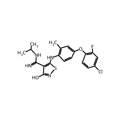 Cc1cc(Oc2ccc(Cl)cc2F)ccc1Nc1snc(O)c1C(=N)NC(C)C